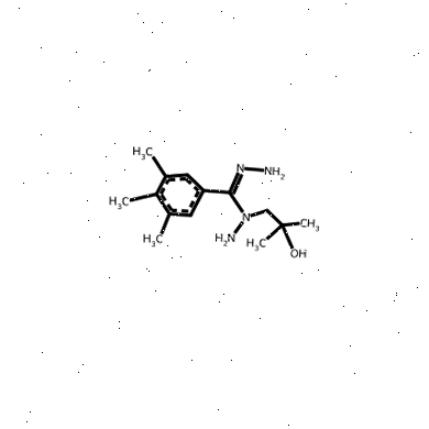 Cc1cc(/C(=N/N)N(N)CC(C)(C)O)cc(C)c1C